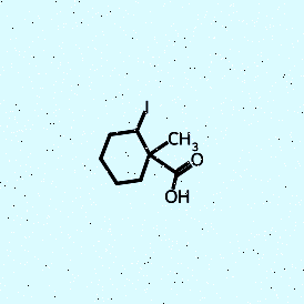 CC1(C(=O)O)CCCCC1I